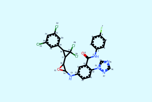 O=C(Nc1ccc(F)cc1)c1cc(NC2OC2C2C(c3cc(Cl)cc(Cl)c3)C2(Cl)Cl)ccc1-n1cncn1